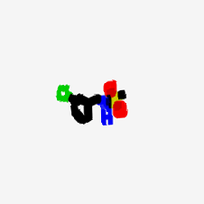 CS(=O)(=O)NCc1cccc(Cl)c1